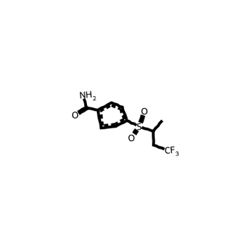 CC(CC(F)(F)F)S(=O)(=O)c1ccc(C(N)=O)cc1